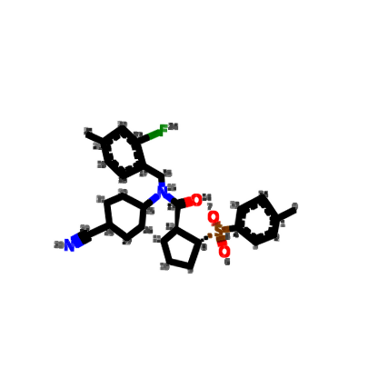 Cc1ccc(S(=O)(=O)[C@@H]2CCC[C@H]2C(=O)N(Cc2ccc(C)cc2F)C2CCC(C#N)CC2)cc1